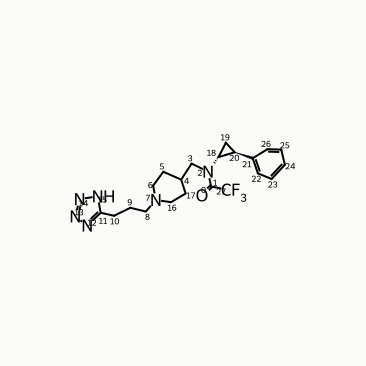 O=C(N(CC1CCN(CCCc2nnn[nH]2)CC1)[C@@H]1C[C@H]1c1ccccc1)C(F)(F)F